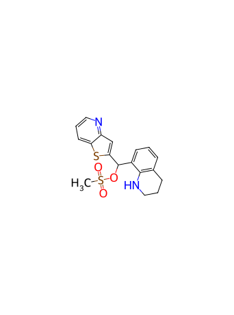 CS(=O)(=O)OC(c1cc2ncccc2s1)c1cccc2c1NCCC2